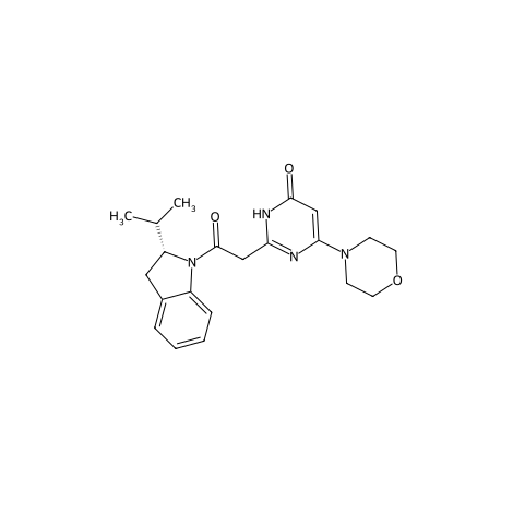 CC(C)[C@H]1Cc2ccccc2N1C(=O)Cc1nc(N2CCOCC2)cc(=O)[nH]1